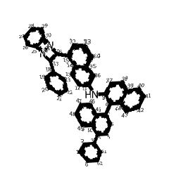 c1ccc(-c2ccc(-c3c(Nc4ccc5c(C6C(c7ccccc7)n7c8ccccc8n76)cccc5c4)ccc4ccccc34)c3ccccc23)cc1